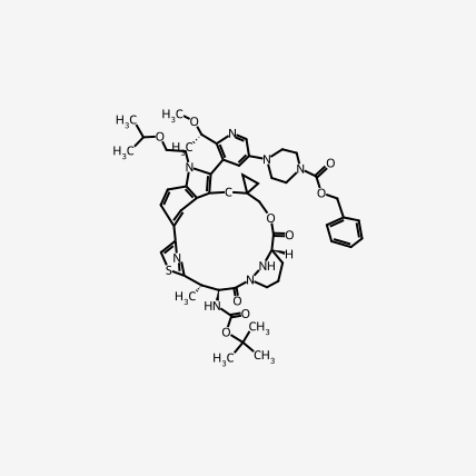 CO[C@@H](C)c1ncc(N2CCN(C(=O)OCc3ccccc3)CC2)cc1-c1c2c3cc(ccc3n1CCOC(C)C)-c1csc(n1)[C@@H](C)[C@H](NC(=O)OC(C)(C)C)C(=O)N1CCC[C@H](N1)C(=O)OCC1(CC1)C2